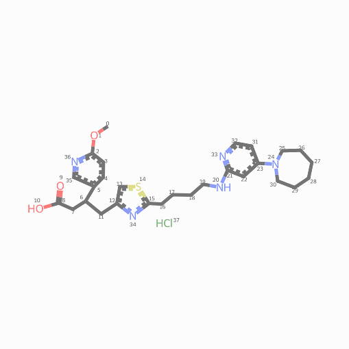 COc1ccc(C(CC(=O)O)Cc2csc(CCCCNc3cc(N4CCCCCC4)ccn3)n2)cn1.Cl